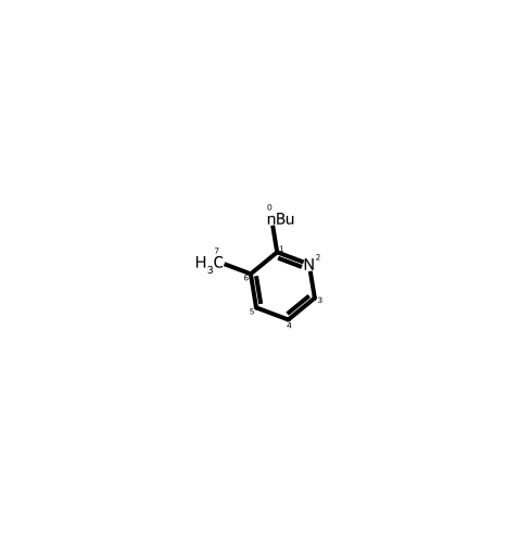 [CH2]CCCc1ncccc1C